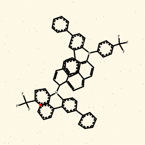 FC(F)(F)c1ccc(N(C2=C3C=CC4=C5C(=CC=C(C=C2)C35)C(N(c2ccc(C(F)(F)F)cc2)c2ccc(-c3ccccc3)cc2-c2ccccc2)C=C4)c2ccc(-c3ccccc3)cc2-c2ccccc2)cc1